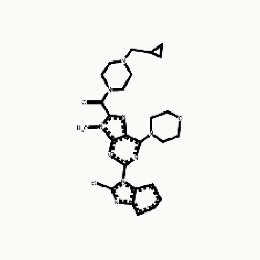 CCc1nc2ccccc2n1-c1nc(N2CCOCC2)c2nc(C(=O)N3CCN(CC4CC4)CC3)n(C)c2n1